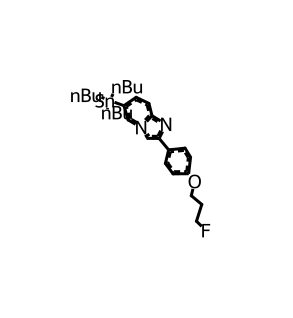 CCC[CH2][Sn]([CH2]CCC)([CH2]CCC)[c]1ccc2nc(-c3ccc(OCCCF)cc3)cn2c1